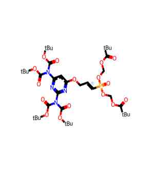 CC(C)(C)OC(=O)N(C(=O)OC(C)(C)C)c1cc(OC/C=C/P(=O)(OCOC(=O)C(C)(C)C)OCOC(=O)C(C)(C)C)nc(N(C(=O)OC(C)(C)C)C(=O)OC(C)(C)C)n1